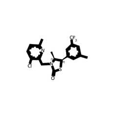 Cc1cc([C@H]2SC(=O)N(Cc3nc(C)ccc3Cl)[C@H]2C)cc(C(F)(F)F)c1